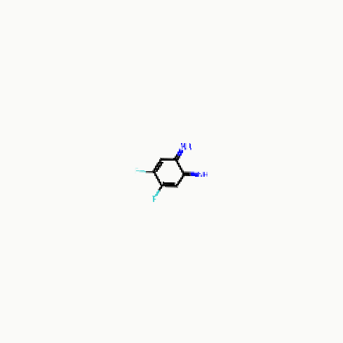 N=C1C=C(F)C(F)=CC1=N